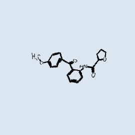 COc1ccc(C(=O)c2ccccc2NC(=O)C2CCCO2)cc1